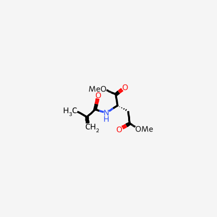 C=C(C)C(=O)N[C@@H](CC(=O)OC)C(=O)OC